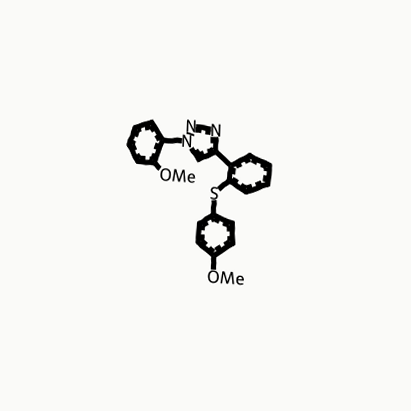 COc1ccc(Sc2ccccc2-c2cn(-c3ccccc3OC)nn2)cc1